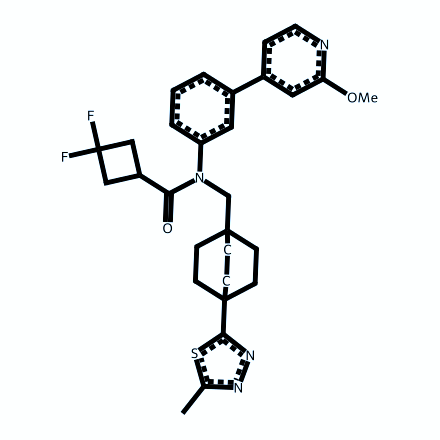 COc1cc(-c2cccc(N(CC34CCC(c5nnc(C)s5)(CC3)CC4)C(=O)C3CC(F)(F)C3)c2)ccn1